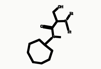 CCN(CC)C(CO)C(=O)N(C)C1CCCCCCC1